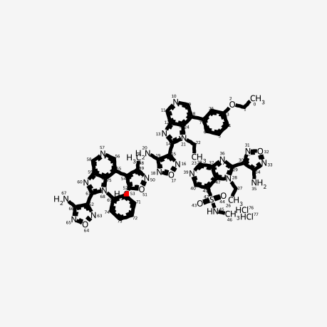 CCOc1cccc(-c2cncc3nc(-c4nonc4N)n(CC)c23)c1.CCn1c(-c2nonc2N)nc2cncc(S(=O)(=O)NC)c21.Cc1noc(C)c1-c1cncc2nc(-c3nonc3N)n(-c3ccccc3)c12.Cl.Cl